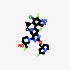 C[C@@H]1C[C@@H]1c1c(Cl)c(F)c2[nH]ncc2c1-c1ncc2c(N3CCC[C@](O)(CF)C3)nc(OC[C@@]34CCCN3C[C@H](F)C4)nc2c1F